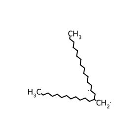 [CH2]C(C[CH]CCCCCCCCCCCCC)CCCCCCCCCCCC